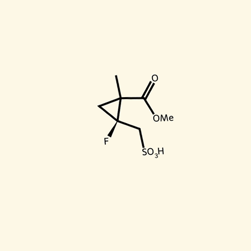 COC(=O)C1(C)C[C@@]1(F)CS(=O)(=O)O